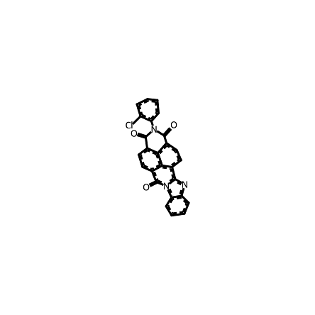 O=C1c2ccc3c(=O)n4c5ccccc5nc4c4ccc(c2c34)C(=O)N1c1ccccc1Cl